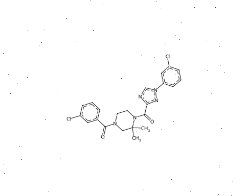 CC1(C)CN(C(=O)c2cccc(Cl)c2)CCN1C(=O)c1ncn(-c2cccc(Cl)c2)n1